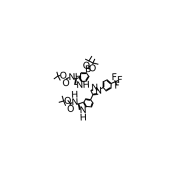 CC(C)(C)OC(=O)Nc1c[nH]c2ccc(-c3cnn(-c4ccc(C(F)(F)F)cc4)c3)cc12.CC(C)(C)OC(=O)Nc1c[nH]c2ccc(B3OC(C)(C)C(C)(C)O3)cc12